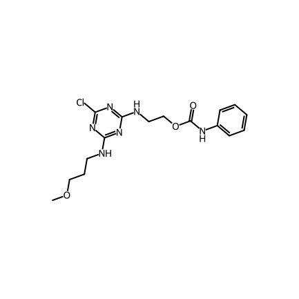 COCCCNc1nc(Cl)nc(NCCOC(=O)Nc2ccccc2)n1